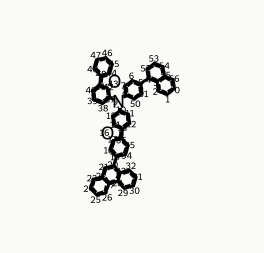 c1ccc2c(-c3ccc(N(c4ccc5c(c4)oc4cc(-c6cc7ccccc7c7ccccc67)ccc45)c4cccc5c4oc4ccccc45)cc3)cccc2c1